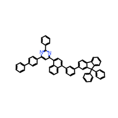 c1ccc(-c2ccc(-c3cc(-c4ccc(-c5cccc(-c6ccc7c(c6)C(c6ccccc6)(c6ccccc6)c6ccccc6-7)c5)c5ccccc45)nc(-c4ccccc4)n3)cc2)cc1